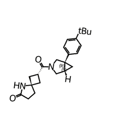 CC(C)(C)c1ccc([C@@]23C[C@@H]2CN(C(=O)[C@H]2C[C@]4(CCC(=O)N4)C2)C3)cc1